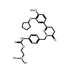 COc1ccc(C2=NN(Cc3ccc(NC(=O)OCCN(C(C)C)C(C)C)cc3)C(=O)CC2)cc1OC1CCCC1